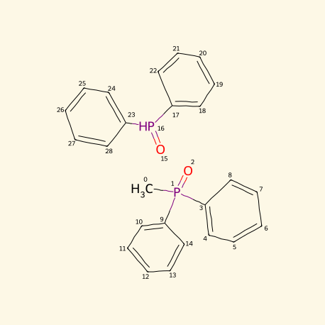 CP(=O)(c1ccccc1)c1ccccc1.O=[PH](c1ccccc1)c1ccccc1